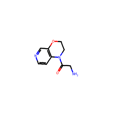 NCC(=O)N1CCOc2cnccc21